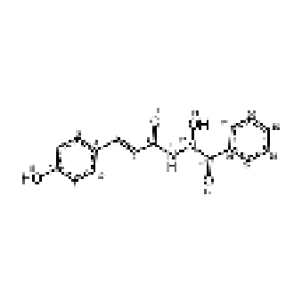 O=C(C=Cc1ccc(O)cc1)NN(O)C(=O)c1ccccc1